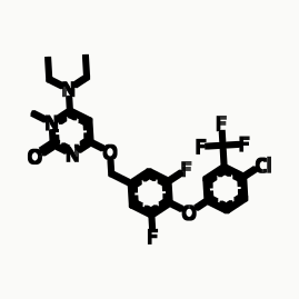 CCN(CC)c1cc(OCc2cc(F)c(Oc3ccc(Cl)c(C(F)(F)F)c3)c(F)c2)nc(=O)n1C